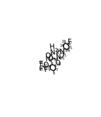 Nc1onc(-c2ccccc2OC(F)(F)F)c1C(=O)N1CCN(c2ccc(F)cc2)CC1